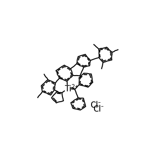 Cc1cc(C)c(-c2ccc3c(c2)Cc2c-3ccc(-c3c(C)cc(C)cc3C)[c]2[Ti+2]([C]2=CC=CC2)=[C](c2ccccc2)c2ccccc2)c(C)c1.[Cl-].[Cl-]